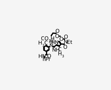 CCCNC(=O)c1ccc(C)c(NC(=N)c2[nH]cc(C(=O)N(CC)C(=O)OCOC(=O)CCC(=O)O)c2C)c1